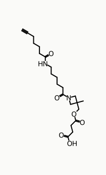 C#CCCCCC(=O)NCCCCCC(=O)N1CC(C)(COC(=O)CCC(=O)O)C1